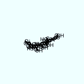 Nc1c(N=Nc2ccc3c(O)c(N=Nc4ccc(N=Nc5ccc(S(=O)(=O)O)cc5)cc4S(=O)(=O)O)c(S(=O)(=O)O)cc3c2S(=O)(=O)O)cc(S(=O)(=O)O)c2cc(S)c(N=Nc3ccc([N+](=O)[O-])cc3S(=O)(=O)O)c(O)c12